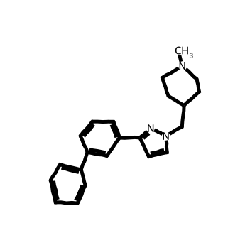 CN1CCC(Cn2ccc(-c3cccc(-c4ccccc4)c3)n2)CC1